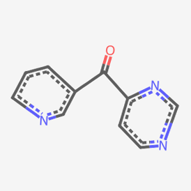 O=C(c1cccnc1)c1ccncn1